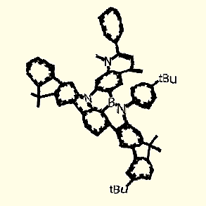 C=C1C=C(c2ccccc2)N(C)c2cc3c(cc21)B1c2c(ccc4c5cc6c(cc5n-3c24)-c2ccccc2C6(C)C)-c2cc3c(cc2N1c1ccc(C(C)(C)C)cc1)C(C)(C)c1ccc(C(C)(C)C)cc1-3